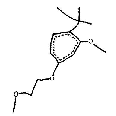 COCCOc1ccc(C(C)(C)C)c(OC)c1